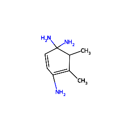 CC1=C(N)C=CC(N)(N)C1C